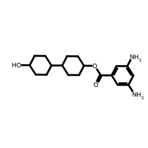 Nc1cc(N)cc(C(=O)OC2CCC(C3CCC(O)CC3)CC2)c1